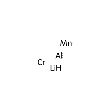 [Al].[Cr].[LiH].[Mn]